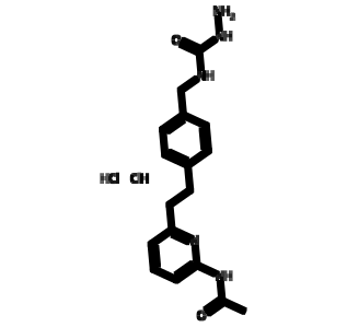 CC(=O)Nc1cccc(CCc2ccc(CNC(=O)NN)cc2)n1.Cl.Cl